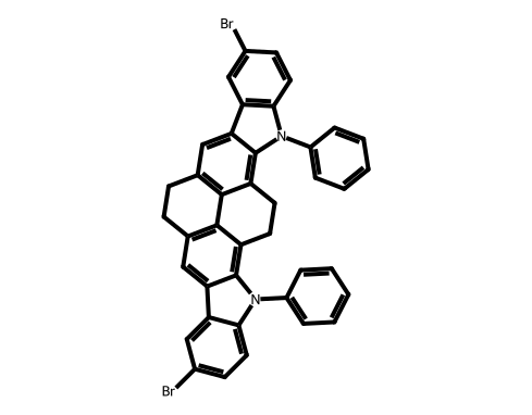 Brc1ccc2c(c1)c1cc3c4c(c1n2-c1ccccc1)CCc1c-4c(cc2c4cc(Br)ccc4n(-c4ccccc4)c12)CC3